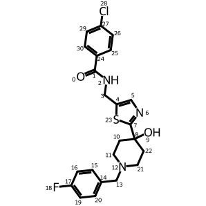 O=C(NCc1cnc(C2(O)CCN(Cc3ccc(F)cc3)CC2)s1)c1ccc(Cl)cc1